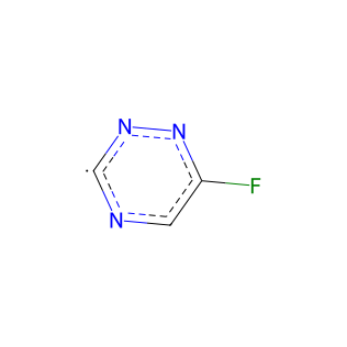 Fc1cn[c]nn1